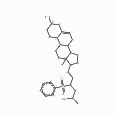 C[C@@H](O)CC(CCC1CCC2C3CC=C4CC(O)CCC4C3CCC12C)S(=O)(=O)c1ccccc1